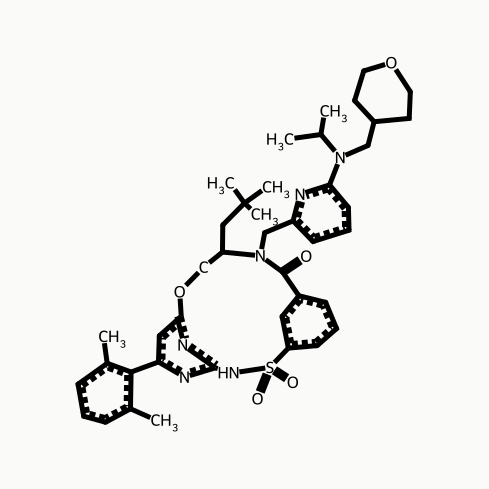 Cc1cccc(C)c1-c1cc2nc(n1)NS(=O)(=O)c1cccc(c1)C(=O)N(Cc1cccc(N(CC3CCOCC3)C(C)C)n1)C(CC(C)(C)C)CO2